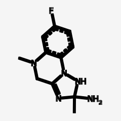 CN1CC2=NC(C)(N)NN2c2ccc(F)cc21